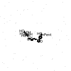 CCCCC[C@H](O)c1ccc(N2C(=O)CC[C@@H]2CCCc2ccc(C(=O)OC/C(O)=C(\O)[C@@H](O)[C@H](O)CO)s2)cc1